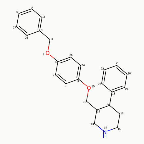 c1ccc(COc2ccc(OCC3CNCCC3c3ccccc3)cc2)cc1